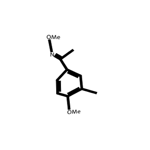 [CH]Oc1ccc(C(C)=NOC)cc1C